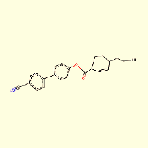 CCCC1C=CC(C(=O)Oc2ccc(-c3ccc(C#N)cc3)cc2)CC1